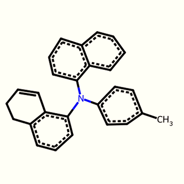 Cc1ccc(N(c2cccc3c2C=CCC3)c2cccc3ccccc23)cc1